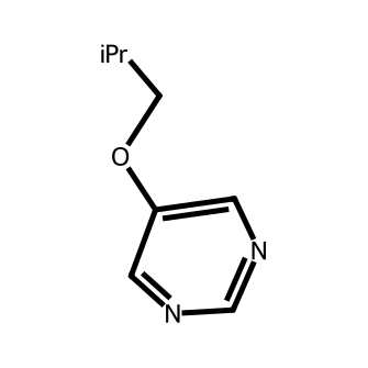 CC(C)COc1cncnc1